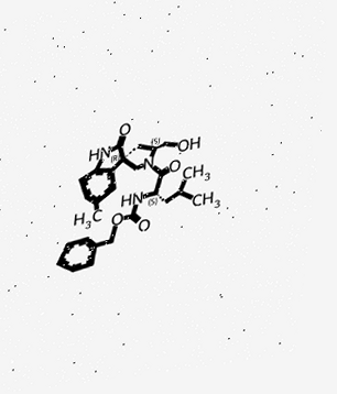 Cc1ccc2c(c1)[C@@]1(C[C@@H](CO)N(C(=O)[C@H](CC(C)C)NC(=O)OCc3ccccc3)C1)C(=O)N2